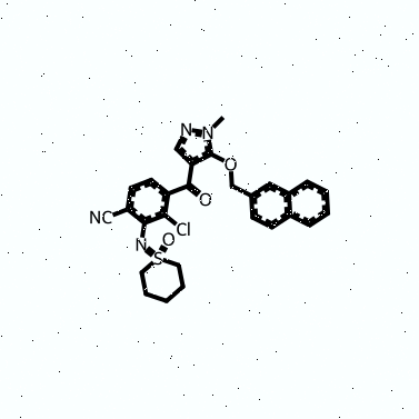 Cn1ncc(C(=O)c2ccc(C#N)c(N=S3(=O)CCCCC3)c2Cl)c1OCc1ccc2ccccc2c1